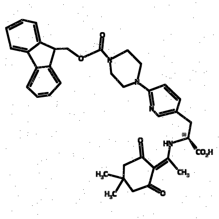 CC(N[C@@H](Cc1ccc(N2CCN(C(=O)OCC3c4ccccc4-c4ccccc43)CC2)nc1)C(=O)O)=C1C(=O)CC(C)(C)CC1=O